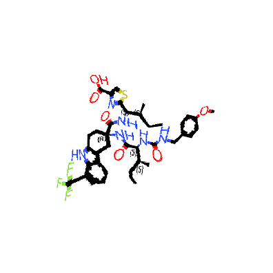 CC[C@H](C)[C@H](NC(=O)NCc1ccc(OC)cc1)C(=O)N[C@]1(C(=O)N[C@H](c2nc(C(=O)O)cs2)[C@@H](C)CC)CCc2[nH]c3c(C(F)(F)F)cccc3c2C1